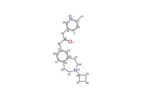 Cc1ccc(CC(=O)Cc2ccc3c(c2)CCN(C2CCC2)CC3)cn1